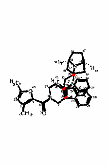 Cc1nc(C)c(C(=O)N2CCC(CCN3[C@@H]4CC[C@H]3C[C@@H](n3c(C)nc5ccccc53)C4)(c3ccccc3)CC2)o1